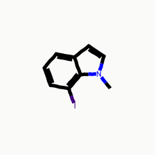 Cn1ccc2cccc(I)c21